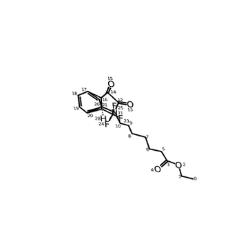 CCOC(=O)CCCCCCN1C(=O)C(=O)C2c3ccc(c(C(F)(F)F)c3)[C@@H]21